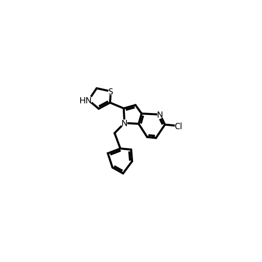 Clc1ccc2c(cc(C3=CNCS3)n2Cc2ccccc2)n1